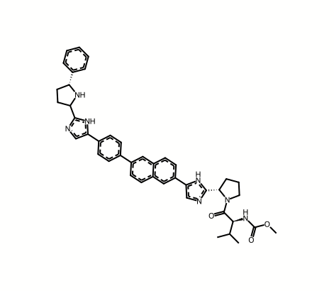 COC(=O)N[C@H](C(=O)N1CCC[C@H]1c1ncc(-c2ccc3cc(-c4ccc(-c5cnc(C6CC[C@H](c7ccccc7)N6)[nH]5)cc4)ccc3c2)[nH]1)C(C)C